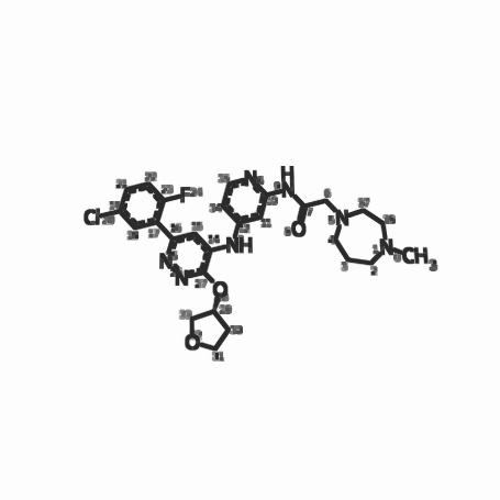 CN1CCCN(CC(=O)Nc2cc(Nc3cc(-c4cc(Cl)ccc4F)nnc3O[C@H]3CCOC3)ccn2)CC1